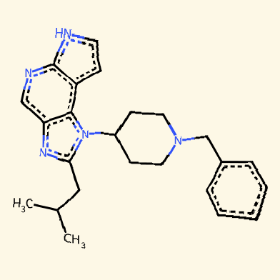 CC(C)Cc1nc2cnc3[nH]ccc3c2n1C1CCN(Cc2ccccc2)CC1